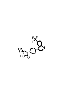 CC1(CC(C(=O)O)[C@H]2CC[C@@H](c3ccnc4ccc(C(F)(F)F)cc43)CC2)COC1